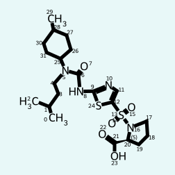 CC(C)CCN(C(=O)Nc1ncc(S(=O)(=O)N2CCC[C@H]2C(=O)O)s1)C1CCC(C)CC1